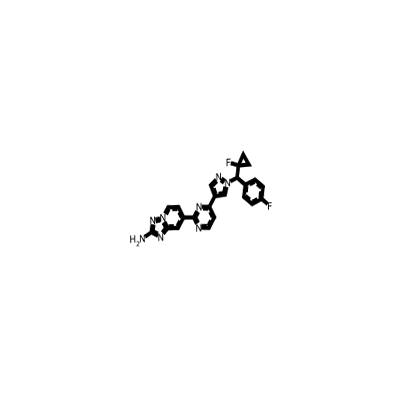 Nc1nc2cc(-c3nccc(-c4cnn(C(c5ccc(F)cc5)C5(F)CC5)c4)n3)ccn2n1